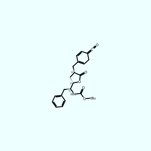 CC(C)(C)OC(=O)N[C@@H](Cc1ccccc1)[C@@H]1C[C@@H](CC2=CCC(=C=O)C=C2)C(=O)O1